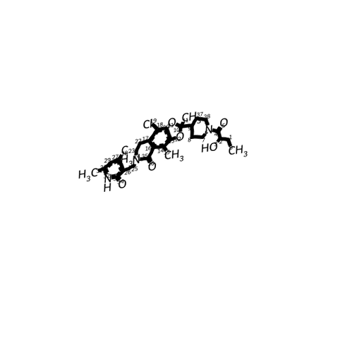 CCC(O)C(=O)N1CCC(C2(C)Oc3c(C)c4c(c(Cl)c3O2)CCN(Cc2c(C)cc(C)[nH]c2=O)C4=O)CC1